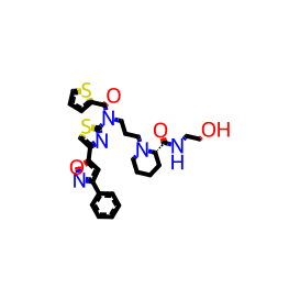 O=C(NCCO)[C@@H]1CCCCN1CCCN(C(=O)c1cccs1)c1nc(-c2cc(-c3ccccc3)no2)cs1